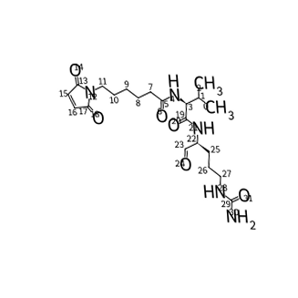 CC(C)[C@H](NC(=O)CCCCCN1C(=O)C=CC1=O)C(=O)N[C@H](C=O)CCCNC(N)=O